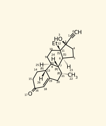 C#C[C@]1(O)CC[C@H]2[C@H]3[C@H](CC[C@@]21CC)[C@H]1CCC(=O)C=C1C[C@H]3C